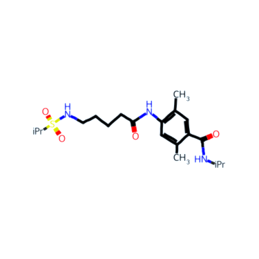 Cc1cc(C(=O)NC(C)C)c(C)cc1NC(=O)CCCCNS(=O)(=O)C(C)C